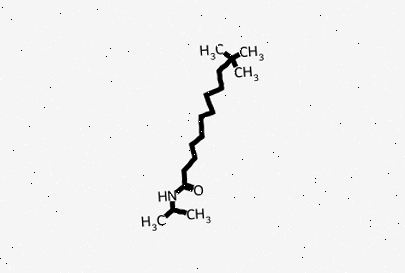 CC(C)NC(=O)CCCCCCCCCC(C)(C)C